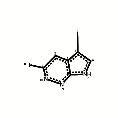 Ic1cc2c(I)c[nH]c2nn1